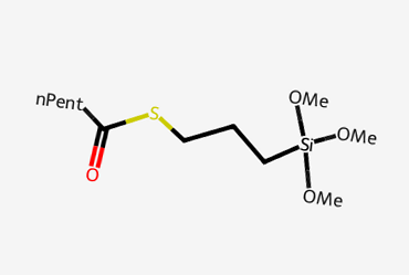 CCCCCC(=O)SCCC[Si](OC)(OC)OC